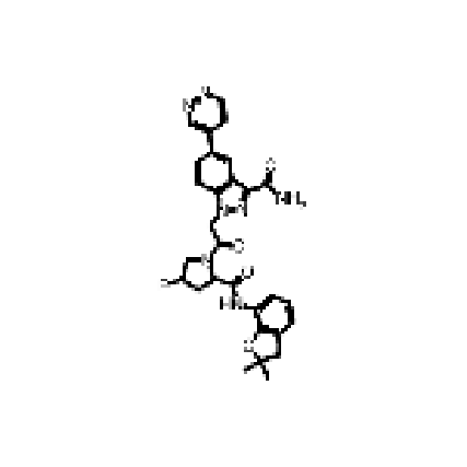 CC1(C)Cc2cccc(NC(=O)C3CC(F)CN3C(=O)Cn3nc(C(N)=O)c4cc(-c5ccnnc5)ccc43)c2O1